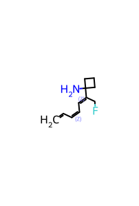 C=C/C=C\C=C(/CF)C1(N)CCC1